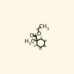 CCOC(=O)C1(C)CC[CH]CC1